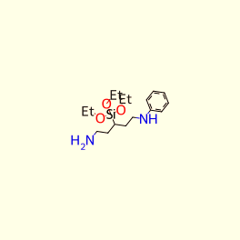 CCO[Si](OCC)(OCC)C(CCN)CCNc1ccccc1